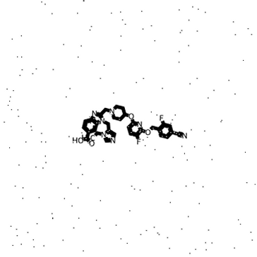 CCn1cncc1Cn1c(CN2CCC(Oc3ccc(F)c(OCc4ccc(C#N)cc4F)n3)CC2)nc2ccc(C(=O)O)cc21